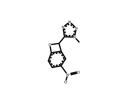 Cn1nnnc1C1Oc2ccc([N+](=O)[O-])cc21